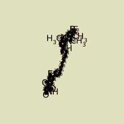 Cc1c([C@@H](C)Nc2nnc(C)c3ccc(N4CCN(CCCCCCCN5CCC(c6cc7c(cc6F)C(=O)N(C6CCC(=O)NC6=O)C7)CC5)CC4)cc23)cccc1C(F)(F)F